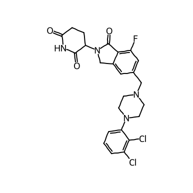 O=C1CCC(N2Cc3cc(CN4CCN(c5cccc(Cl)c5Cl)CC4)cc(F)c3C2=O)C(=O)N1